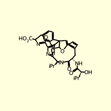 CC(C)[C@H](O)C(=O)N[C@H]1Cc2ccc3c(c2)C2(c4ccccc4NC2O3)c2oc(nc2C2=NC(C(=O)O)CO2)[C@H](C(C)C)NC1=O